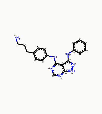 NCCCc1ccc(Nc2ncnc3[nH]nc(Nc4ccccc4)c23)cc1